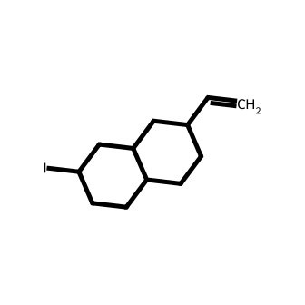 C=CC1CCC2CCC(I)CC2C1